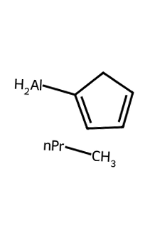 CCCC.[AlH2][C]1=CC=CC1